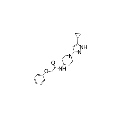 O=C(COc1ccccc1)NC1CCN(c2cc(C3CC3)[nH]n2)CC1